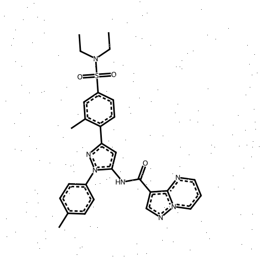 CCN(CC)S(=O)(=O)c1ccc(-c2cc(NC(=O)c3cnn4cccnc34)n(-c3ccc(C)cc3)n2)c(C)c1